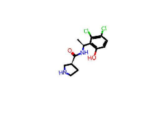 C[C@H](NC(=O)[C@H]1CCNC1)c1c(O)ccc(Cl)c1Cl